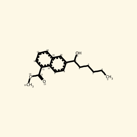 CCCCCC(O)c1ccc2c(C(=O)OC)cccc2c1